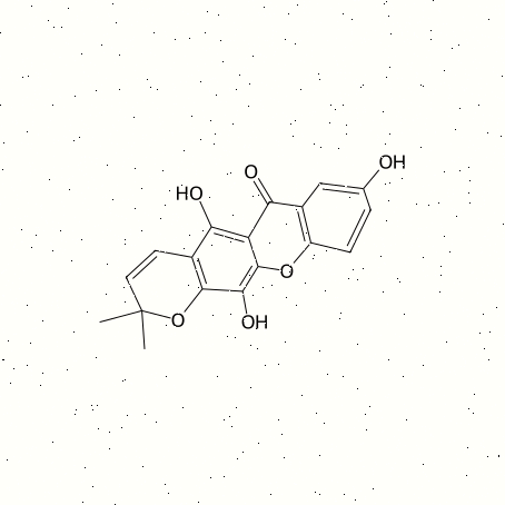 CC1(C)C=Cc2c(c(O)c3oc4ccc(O)cc4c(=O)c3c2O)O1